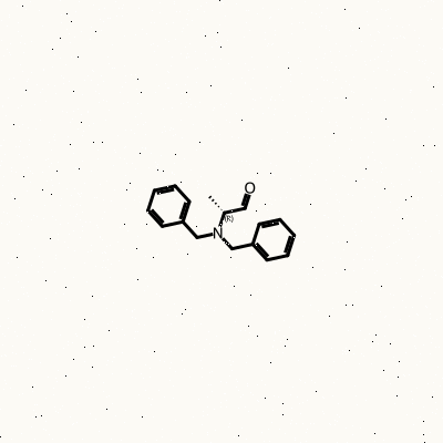 C[C@H](C=O)N(Cc1ccccc1)Cc1ccccc1